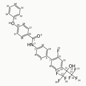 O=C(Nc1ccc(-c2ccc(C(O)(C(F)(F)F)C(F)(F)F)cc2F)cc1)c1ccc(Oc2ccccc2)cc1